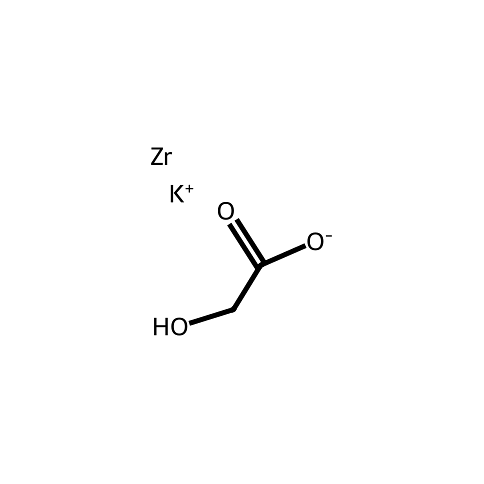 O=C([O-])CO.[K+].[Zr]